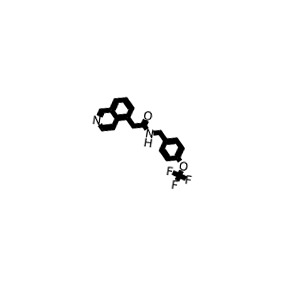 O=C(Cc1cccc2cnccc12)NCc1ccc(OC(F)(F)F)cc1